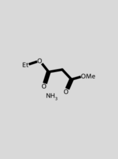 CCOC(=O)CC(=O)OC.N